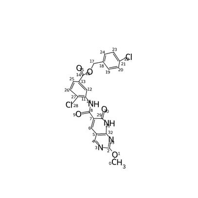 COc1ncc2cc(C(=O)Nc3cc(C(=O)OCc4ccc(Cl)cc4)ccc3Cl)c(=O)[nH]c2n1